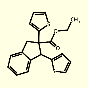 CCOC(=O)C1(c2cccs2)Cc2ccccc2C1c1cccs1